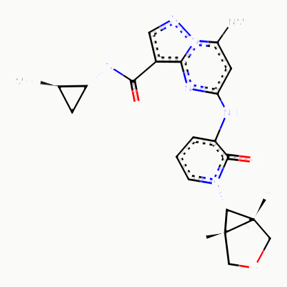 CNc1cc(Nc2cccn([C@@H]3[C@@H]4COC[C@@H]43)c2=O)nc2c(C(=O)N[C@@H]3C[C@H]3OC)cnn12